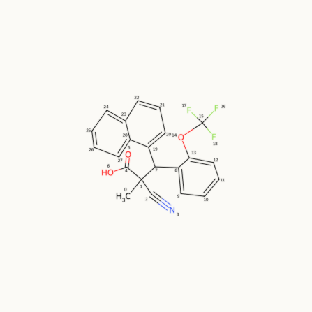 CC(C#N)(C(=O)O)C(c1ccccc1OC(F)(F)F)c1cccc2ccccc12